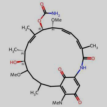 CNC1=C2CC(C)CC(OC)[C@@H](O)[C@H](C)C=C(C)[C@@H](OC(N)=O)[C@H](OC)C=CC=C(C)C(=O)NC(=CC1=O)C2=O